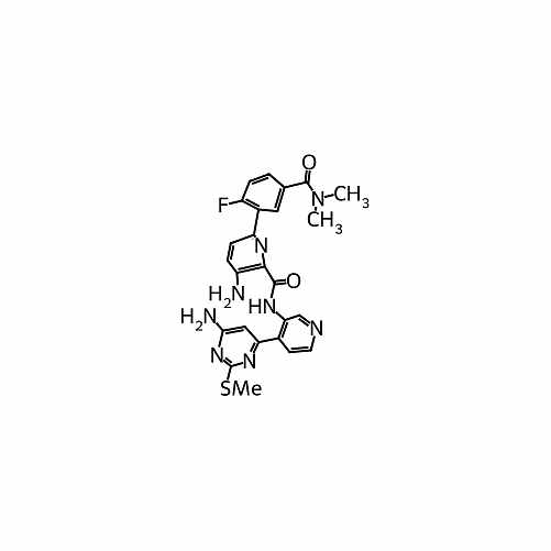 CSc1nc(N)cc(-c2ccncc2NC(=O)c2nc(-c3cc(C(=O)N(C)C)ccc3F)ccc2N)n1